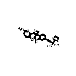 C[C@@](O)(C#Cc1ccc2c(c1)NCC21COC1c1nc(N)ncc1Cl)c1nccs1